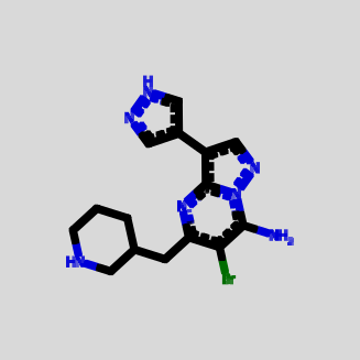 Nc1c(Br)c(CC2CCCNC2)nc2c(-c3cn[nH]c3)cnn12